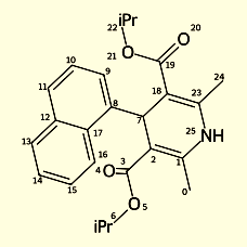 CC1=C(C(=O)OC(C)C)C(c2cccc3ccccc23)C(C(=O)OC(C)C)=C(C)N1